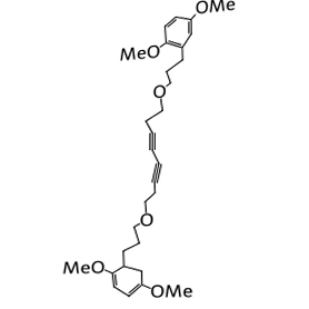 COC1=CC=C(OC)C(CCCOCCC#CC#CCCOCCCc2cc(OC)ccc2OC)C1